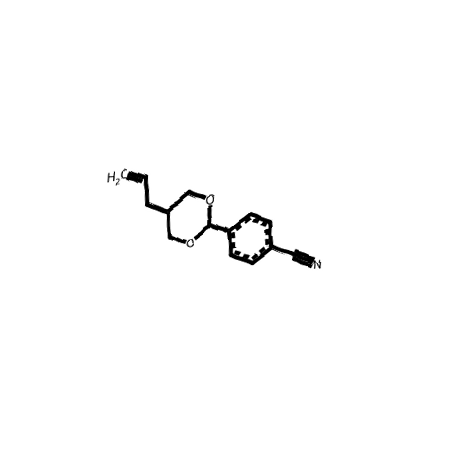 C=CCC1COC(c2ccc(C#N)cc2)OC1